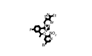 CCc1nsc(Cn2ncnc2-c2ccc(F)cc2C(C)Oc2cc(Br)cnc2[N+](=O)[O-])c1Br